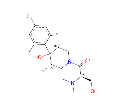 Cc1cc(Cl)cc(F)c1C1(O)[C@H](C)CN(C(=O)[C@@H](CO)N(C)C)C[C@@H]1C